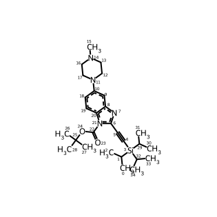 CC(C)[Si](C#Cc1nc2cc(N3CCN(C)CC3)ccc2n1C(=O)OC(C)(C)C)(C(C)C)C(C)C